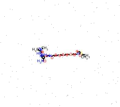 CCC(CC)SC1CC(=O)N(CCOCCOCCOCCOCCOCCOCCC(=O)NCCCOc2cc(C(N)=O)cc3nc(NC(=O)c4cc(C)nn4CC)[nH]c23)C1=O